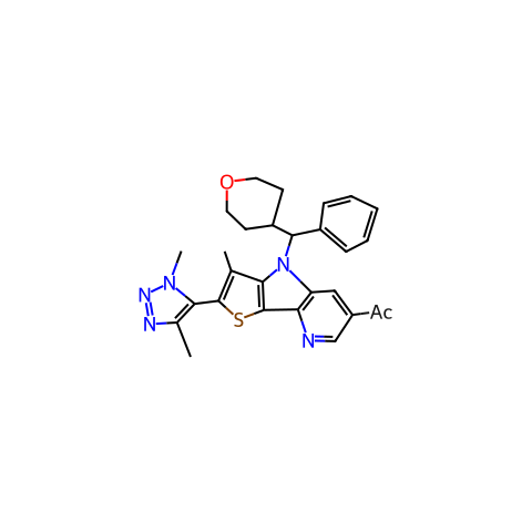 CC(=O)c1cnc2c3sc(-c4c(C)nnn4C)c(C)c3n(C(c3ccccc3)C3CCOCC3)c2c1